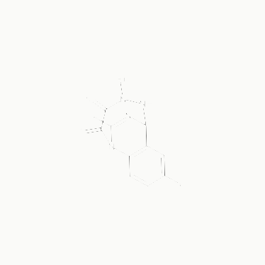 CCN1NC2N=C(Cl)N(C(=O)C1=O)c1ccc(Cl)cc12